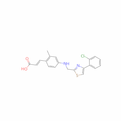 Cc1cc(NCc2nc(-c3ccccc3Cl)cs2)ccc1/C=C/C(=O)O